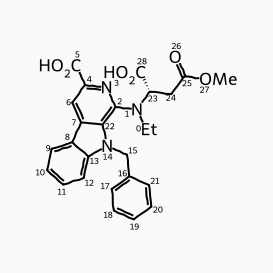 CCN(c1nc(C(=O)O)cc2c3ccccc3n(Cc3ccccc3)c12)[C@@H](CC(=O)OC)C(=O)O